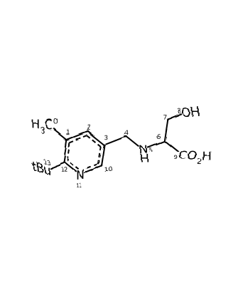 Cc1cc(CNC(CO)C(=O)O)cnc1C(C)(C)C